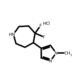 Cl.Cn1cc(C2CCNCCC2(F)F)cn1